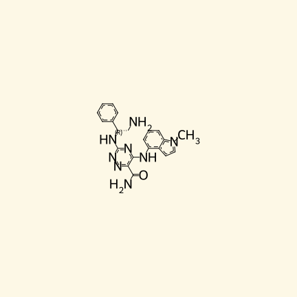 Cn1ccc2c(Nc3nc(N[C@@H](CN)c4ccccc4)nnc3C(N)=O)cccc21